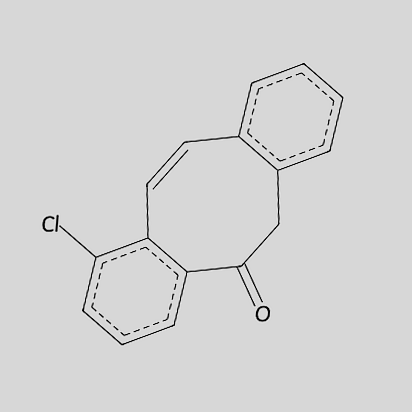 O=C1Cc2ccccc2C=Cc2c(Cl)cccc21